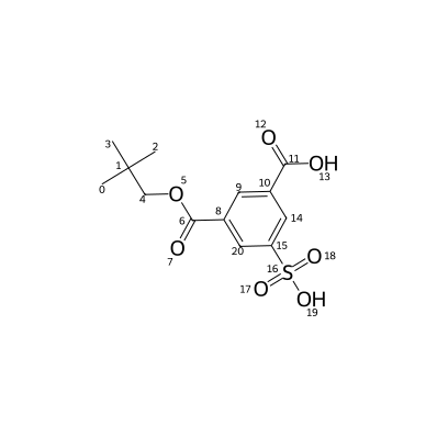 CC(C)(C)COC(=O)c1cc(C(=O)O)cc(S(=O)(=O)O)c1